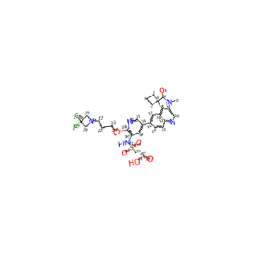 CN1C(=O)C2(CCC2)c2c1cnc1ccc(-c3cnc(OCCCN4CC(F)(F)C4)c(NS(C)(=O)=O)c3)cc21.O=CO